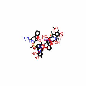 COc1c(C)cc2c(c1O)C1[C@@H]3[C@@H]4SC[C@]5(NCCc6c5oc5cccc(C7Oc8c(C)c(OC(C)=O)c9c(c8O7)[C@@H]7COC(=O)[C@]8(CS[C@H]9[C@H]9C%10c%11c(cc(C)c(OC)c%11O)CC(O)(CN%10C)N97)N[C@@H](CN)Cc7c8oc8ccccc78)c65)C(=O)OC[C@@H](c5c6c(c(C)c(OC(C)=O)c54)OCO6)N3C(O)(C2)CN1C